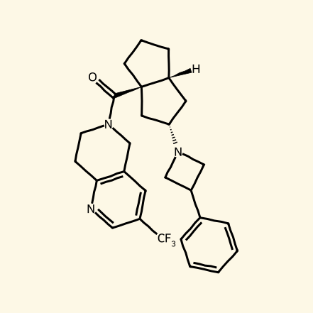 O=C(N1CCc2ncc(C(F)(F)F)cc2C1)[C@@]12CCC[C@@H]1C[C@H](N1CC(c3ccccc3)C1)C2